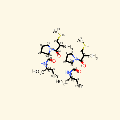 CC(=O)SCC(C)C(=O)N1CCC[C@H]1C(=O)N[C@@H](CC(C)C)C(=O)O.CC(=O)SCC(C)C(=O)N1CCC[C@H]1C(=O)N[C@@H](CC(C)C)C(=O)O